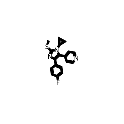 CSc1nc(-c2ccc(F)cc2)c(-c2ccncc2)n1C1CC1